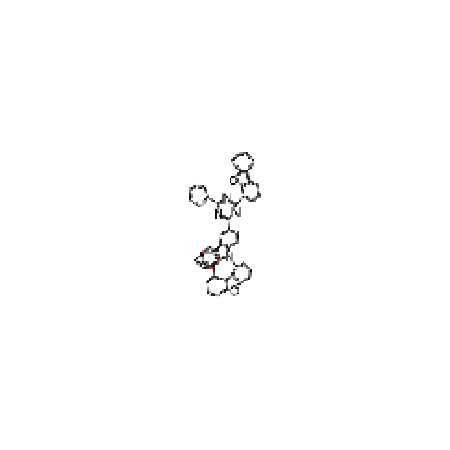 c1ccc(-c2nc(-c3ccc4c(c3)c3ccccc3n4-c3cccc4oc5cccc(-c6ccccc6)c5c34)nc(-c3cccc4c3oc3ccccc34)n2)cc1